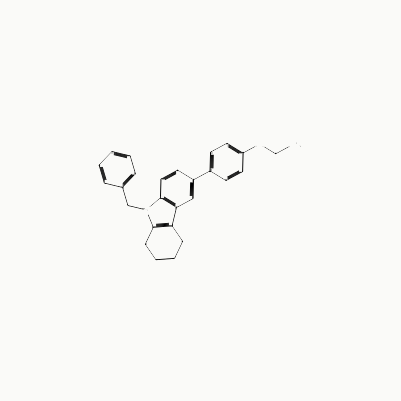 N#CCOc1ccc(-c2ccc3c(c2)c2c(n3Cc3ccccc3)CCCC2)cc1